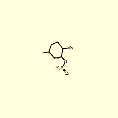 CC1CCC(C(C)C)C(O[PH2]=O)C1